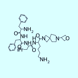 CC(C)CC(NC(=O)C(Cc1ccccc1)NC(=O)C(N)Cc1ccccc1)C(=O)NC(CCCCN)C(=O)N1CC2(CCN(C3COC3)CC2)C1